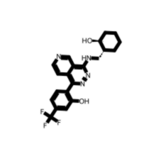 Oc1cc(C(F)(F)F)ccc1-c1nnc(NC[C@H]2CCCC[C@@H]2O)c2cnccc12